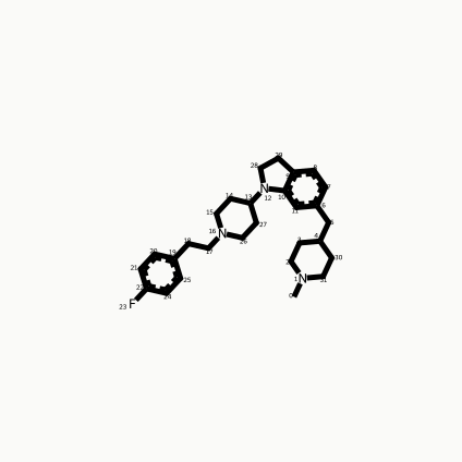 CN1CCC(Cc2ccc3c(c2)N(C2CCN(CCc4ccc(F)cc4)CC2)CC3)CC1